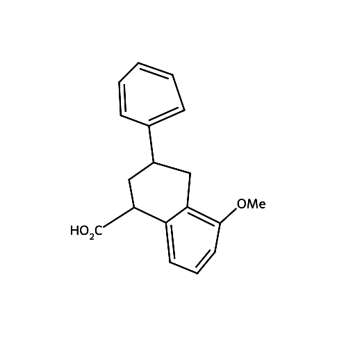 COc1cccc2c1CC(c1ccccc1)CC2C(=O)O